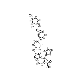 CCn1cncc1Cn1c(CC2CCN(c3ccnc(OCc4ccc(Cl)cc4F)n3)CC2)nc2ccc(C(=O)O)cc21